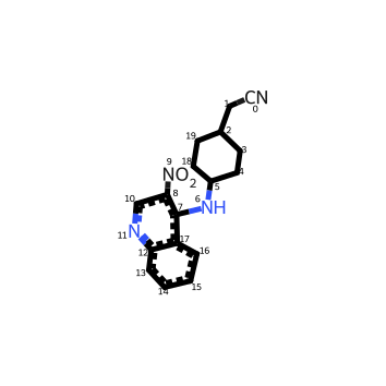 N#CCC1CCC(Nc2c([N+](=O)[O-])cnc3ccccc23)CC1